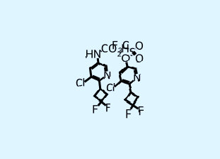 O=C(O)Nc1cnc(C2CC(F)(F)C2)c(Cl)c1.O=S(=O)(Oc1cnc(C2CC(F)(F)C2)c(Cl)c1)C(F)(F)F